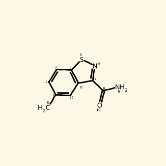 Cc1ccc2snc(C(N)=O)c2c1